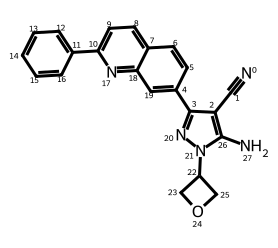 N#Cc1c(-c2ccc3ccc(-c4ccccc4)nc3c2)nn(C2COC2)c1N